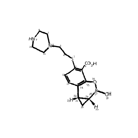 O=C(O)c1c(SCCN2CCNCC2)ccc2c1OB(O)[C@@H]1C[C@H]21